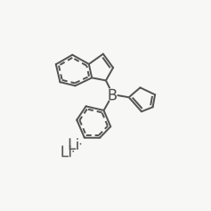 C1=CCC(B(c2ccccc2)C2C=Cc3ccccc32)=C1.[Li].[Li]